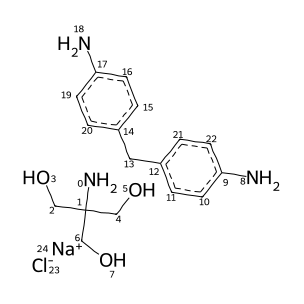 NC(CO)(CO)CO.Nc1ccc(Cc2ccc(N)cc2)cc1.[Cl-].[Na+]